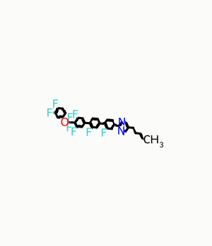 C/C=C/CCc1cnc(-c2ccc(-c3ccc(-c4cc(F)c(C(F)(F)Oc5ccc(F)c(F)c5)c(F)c4)c(F)c3)c(F)c2)nc1